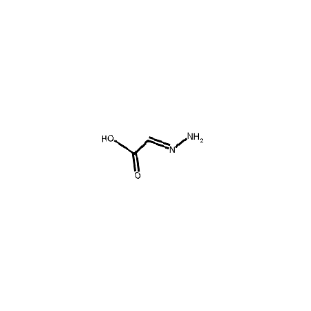 NN=CC(=O)O